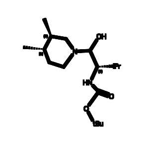 CC(C)[C@H](NC(=O)OC(C)(C)C)C(O)N1CC[C@H](C)[C@@H](C)C1